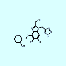 OCc1nc2c(OC[C@H]3CCCC[C@@H]3O)c(Cl)c(Cl)cc2n1Cc1nn[nH]n1